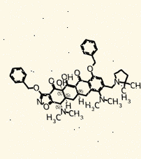 CN(C)c1c(CN2CCCC2(C)C)cc(OCc2ccccc2)c2c1C[C@H]1C[C@H]3[C@H](N(C)C)c4onc(OCc5ccccc5)c4C(=O)[C@@]3(O)C(O)=C1C2=O